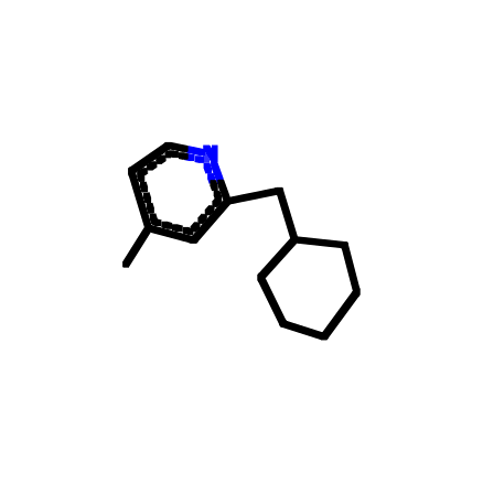 Cc1ccnc(CC2CCCCC2)c1